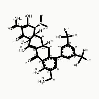 CN(C)[C@@H]1C(O)=C(C(N)=O)C(=O)[C@@]2(O)C(O)=C3C(=O)c4c(O)c(CN)cc(-c5cc(C(F)(F)F)cc(C(F)(F)F)c5)c4C[C@H]3C[C@@H]12